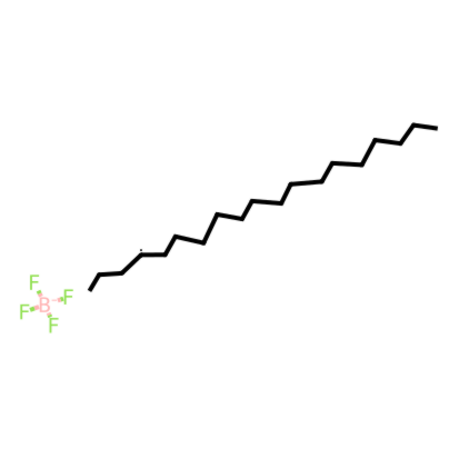 CCC[CH]CCCCCCCCCCCCCCC.F[B-](F)(F)F